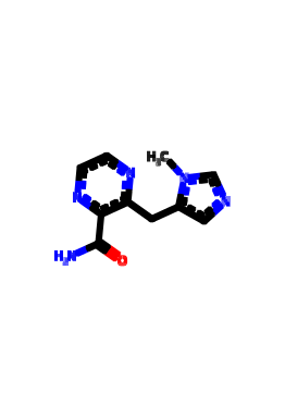 Cn1cncc1Cc1nccnc1C(N)=O